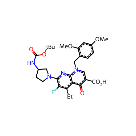 CCc1c(F)c(N2CCC(NC(=O)OC(C)(C)C)C2)nc2c1c(=O)c(C(=O)O)cn2Cc1ccc(OC)cc1OC